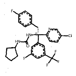 O=C(NC1CCCC1)N[C@](Cc1ccc(F)cc1)(c1cc(F)cc(C(F)(F)F)c1)c1ccc(Cl)cn1